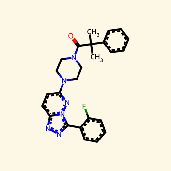 CC(C)(C(=O)N1CCN(c2ccc3nnc(-c4ccccc4F)n3n2)CC1)c1ccccc1